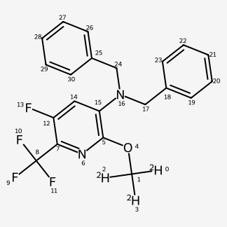 [2H]C([2H])([2H])Oc1nc(C(F)(F)F)c(F)cc1N(Cc1ccccc1)Cc1ccccc1